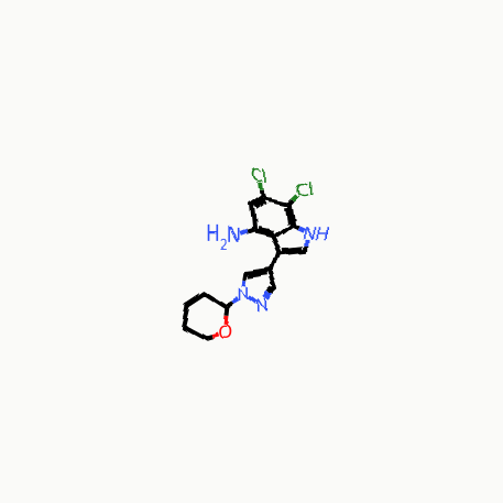 Nc1cc(Cl)c(Cl)c2[nH]cc(-c3cnn(C4CCCCO4)c3)c12